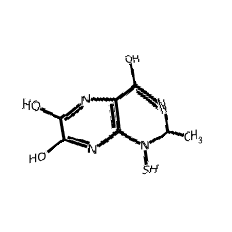 CC1N=C(O)c2nc(O)c(O)nc2N1S